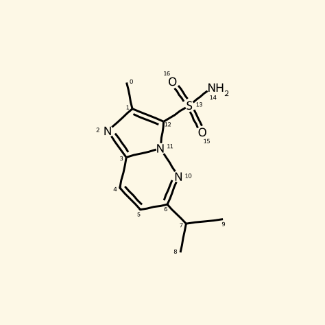 Cc1nc2ccc(C(C)C)nn2c1S(N)(=O)=O